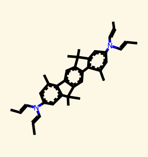 C/C=C/N(/C=C/C)c1cc(C)c2c(c1)C(C)(C)c1cc3c(cc1-2)C(C)(C)c1cc(N(/C=C/C)/C=C/C)cc(C)c1-3